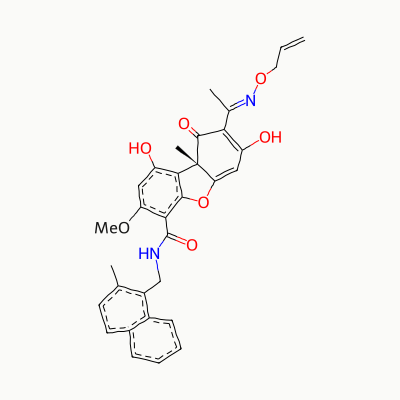 C=CCO/N=C(\C)C1=C(O)C=C2Oc3c(C(=O)NCc4c(C)ccc5ccccc45)c(OC)cc(O)c3[C@]2(C)C1=O